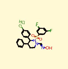 Cl.O=S(=O)(c1cc(F)cc(F)c1)N1C(c2ccc(Cl)cc2)C(c2ccccc2)CCN1C=NO